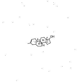 CC1=CC[C@@]2(C)C(CC[C@@H]3[C@H]2CC[C@]2(C)C(O)CC[C@@H]32)C1